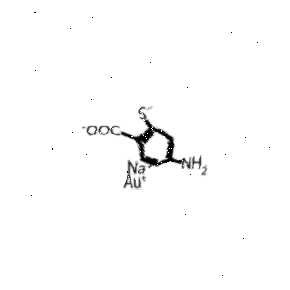 Nc1ccc(C(=O)[O-])c([S-])c1.[Au+].[Na+]